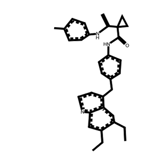 C=C(Nc1ccc(C)cc1)C1(C(=O)Nc2ccc(Cc3ccnc4cc(CC)c(CC)cc34)cc2)CC1